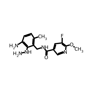 COc1ncc(C(=O)NCc2c(C)ccc(N)c2NN)cc1F